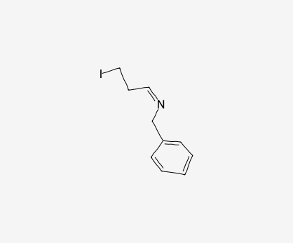 ICC/C=N\Cc1ccccc1